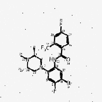 C[C@H]1CN(c2cc(F)c(Br)cc2NC(=O)c2ccc(F)cc2C(F)(F)F)C[C@H](C)N1C